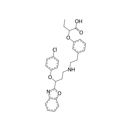 CCC(Oc1cccc(CCNCCC(Oc2ccc(Cl)cc2)c2nc3ccccc3o2)c1)C(=O)O